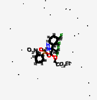 CCOC(=O)COCC(NS(=O)(=O)c1ccccc1[N+](=O)[O-])(c1cccc(F)c1F)C(F)F